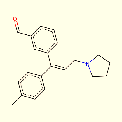 Cc1ccc(C(=CCN2CCCC2)c2cccc(C=O)c2)cc1